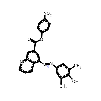 Cc1cc(/N=N/c2cc(C(=O)Oc3ccc([N+](=O)[O-])cc3)cc3ncccc23)cc(C)c1O